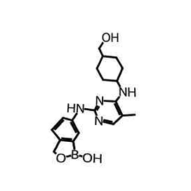 Cc1cnc(Nc2ccc3c(c2)B(O)OC3)nc1NC1CCC(CO)CC1